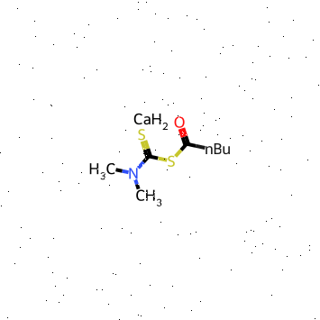 CCCCC(=O)SC(=S)N(C)C.[CaH2]